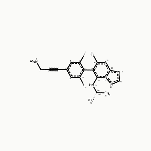 CNCC#Cc1cc(F)c(-c2c(Cl)nc3ncnn3c2N[C@H](C)C(C)(C)C)c(F)c1